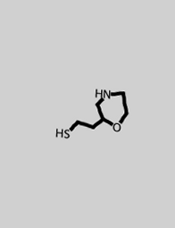 SCCC1CNCCO1